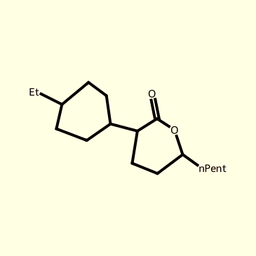 CCCCCC1CCC(C2CCC(CC)CC2)C(=O)O1